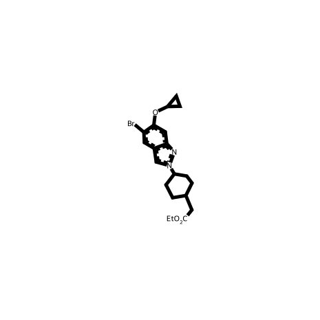 CCOC(=O)CC1CCC(n2cc3cc(Br)c(OC4CC4)cc3n2)CC1